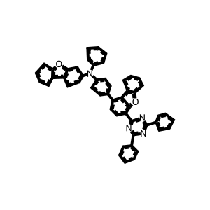 c1ccc(-c2nc(-c3ccccc3)nc(-c3ccc(-c4ccc(N(c5ccccc5)c5ccc6c(c5)oc5ccccc56)cc4)c4c3oc3ccccc34)n2)cc1